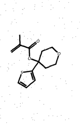 C=C(C)C(=O)OC1(c2cccs2)CCOCC1